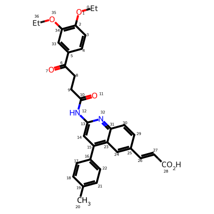 CCOc1ccc(C(=O)CCC(=O)Nc2cc(-c3ccc(C)cc3)c3cc(/C=C/C(=O)O)ccc3n2)cc1OCC